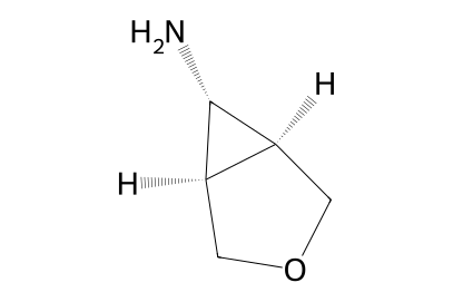 N[C@@H]1[C@H]2COC[C@@H]12